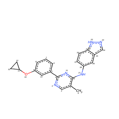 Cc1cnc(-c2cccc(OC3CC3)c2)nc1Nc1ccc2[nH]ncc2c1